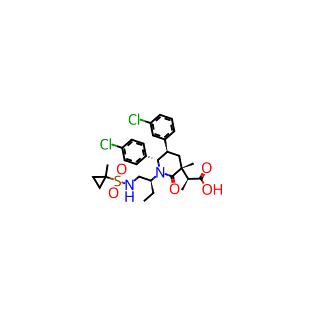 CC[C@@H](CNS(=O)(=O)C1(C)CC1)N1C(=O)[C@@](C)([C@H](C)C(=O)O)C[C@H](c2cccc(Cl)c2)[C@H]1c1ccc(Cl)cc1